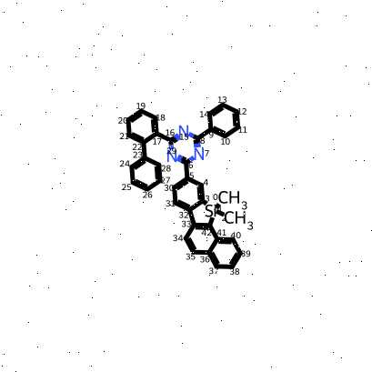 C[Si]1(C)c2cc(-c3nc(-c4ccccc4)nc(-c4ccccc4-c4ccccc4)n3)ccc2-c2ccc3ccccc3c21